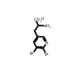 NC(Cc1cnc(Br)c(Br)c1)C(=O)O